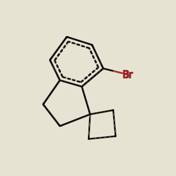 Brc1cccc2c1C1(CCC1)CC2